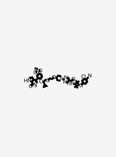 CCS(=O)(=O)c1ccc(OC(COCCOC2CCN(c3ncc(C(=O)NC4C(C)(C)C(Oc5ccc(C#N)c(Cl)c5)C4(C)C)cn3)CC2)C2CC2)c(-c2cn(C)c(=O)c3[nH]ccc23)c1